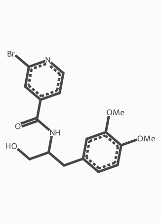 COc1ccc(CC(CO)NC(=O)c2ccnc(Br)c2)cc1OC